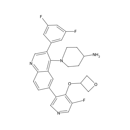 NC1CCN(c2c(-c3cc(F)cc(F)c3)cnc3ccc(-c4cncc(F)c4OC4COC4)cc23)CC1